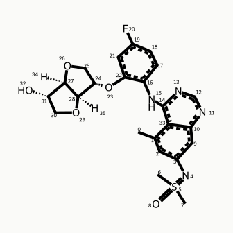 Cc1cc(N=S(C)(C)=O)cc2ncnc(Nc3ccc(F)cc3O[C@H]3CO[C@H]4[C@@H]3OC[C@@H]4O)c12